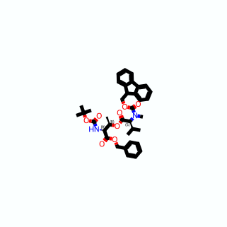 CC(C)[C@@H](C(=O)O[C@H](C)[C@@H](NC(=O)OC(C)(C)C)C(=O)OCc1ccccc1)N(C)C(=O)OCC1c2ccccc2-c2ccccc21